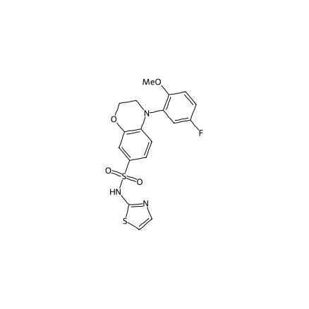 COc1ccc(F)cc1N1CCOc2cc(S(=O)(=O)Nc3nccs3)ccc21